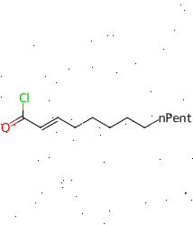 CCCCCCCCCCC=CC(=O)Cl